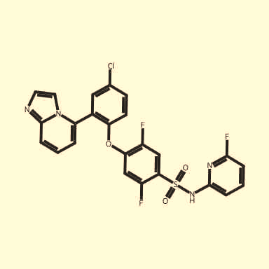 O=S(=O)(Nc1cccc(F)n1)c1cc(F)c(Oc2ccc(Cl)cc2-c2cccc3nccn23)cc1F